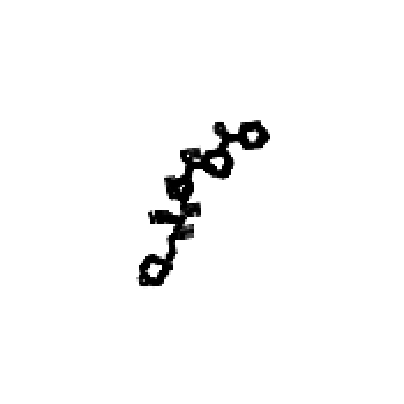 CC(c1cccc(C(=O)c2ccccc2)c1)c1cc(NC(=N)NCCN2CCOCC2)on1